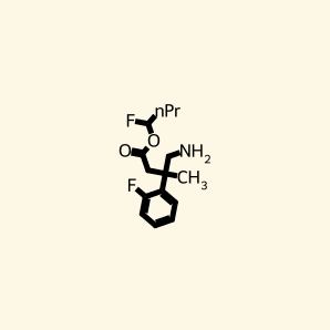 CCCC(F)OC(=O)CC(C)(CN)c1ccccc1F